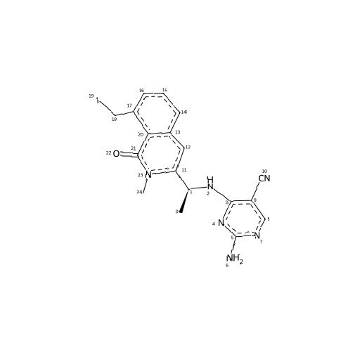 C[C@H](Nc1nc(N)ncc1C#N)c1cc2cccc(CI)c2c(=O)n1C